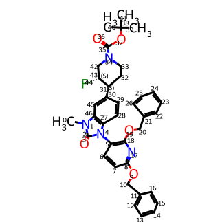 Cn1c(=O)n(-c2ccc(OCc3ccccc3)nc2OCc2ccccc2)c2ccc([C@@H]3CCN(C(=O)OC(C)(C)C)C[C@H]3F)cc21